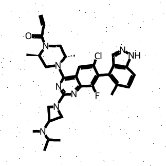 C=CC(=O)N1C[C@H](C)N(c2nc(N3CC(N(C)C(C)C)C3)nc3c(F)c(-c4c(C)ccc5[nH]ncc45)c(Cl)cc23)C[C@H]1C